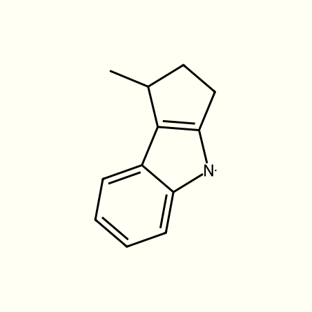 CC1CCC2=C1c1ccccc1[N]2